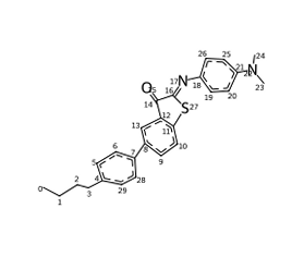 CCCCc1ccc(-c2ccc3c(c2)C(=O)/C(=N/c2ccc(N(C)C)cc2)S3)cc1